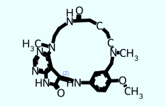 COc1ccc2cc1CN(C)CCCCC(=O)NCCN(C)c1ncnc3c1/C(=C/N2)C(=O)N3